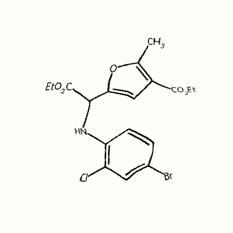 CCOC(=O)c1cc(C(Nc2ccc(Br)cc2Cl)C(=O)OCC)oc1C